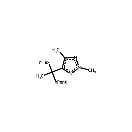 CCCCCCC(C)(CCCCC)c1nn(C)nc1C